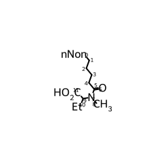 CCCCCCCCCCCCCC(=O)N(C)C(CC)C(=O)O